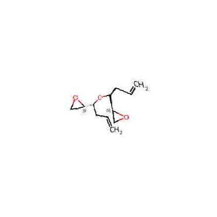 C=CCC(OC(CC=C)[C@@H]1CO1)[C@@H]1CO1